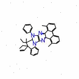 C=CC1(CC)c2ccccc2N2c3nc(-c4c(C)cccc4C)c(-c4c(C)cccc4C)nc3N(c3ccccc3)C2C1(C)CC